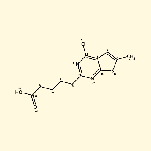 Cc1cc2c(Cl)nc(CCCCC(=O)O)nc2s1